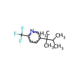 CC(C)C(C)(C)c1ccc(C(F)(F)F)nc1